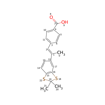 CC(=Cc1ccc(C(=O)O)cc1)c1ccc2c(c1)SC(C)(C)S2